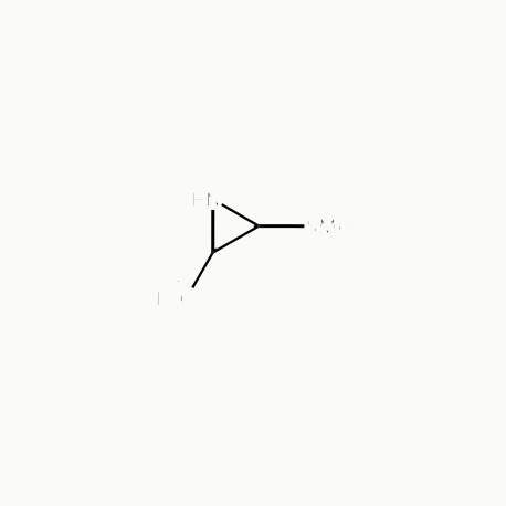 CSC1NC1C